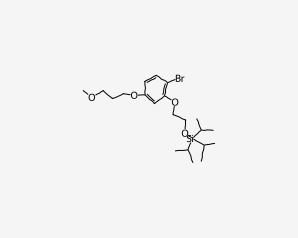 COCCCOc1ccc(Br)c(OCCO[Si](C(C)C)(C(C)C)C(C)C)c1